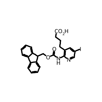 O=C(O)CCCc1cc(I)cnc1NC(=O)OCC1c2ccccc2-c2ccccc21